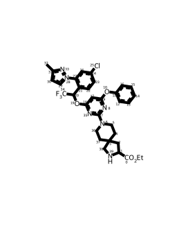 CCOC(=O)C1CC2(CCN(c3nc(Oc4ccccc4)cc(OC(c4ccc(Cl)cc4-n4ccc(C)n4)C(F)(F)F)n3)CC2)CN1